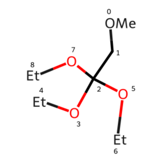 [CH2]OCC(OCC)(OCC)OCC